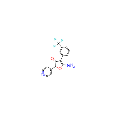 NC1=C(c2cccc(C(F)(F)F)c2)C(=O)C(c2ccncc2)O1